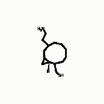 NCCC1CCCCCC(CS)[C@H]2CC2C1